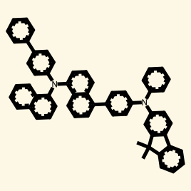 CC1(C)c2ccccc2-c2ccc(N(c3ccccc3)c3ccc(-c4cccc5c(N(c6ccc(-c7ccccc7)cc6)c6cccc7ccccc67)cccc45)cc3)cc21